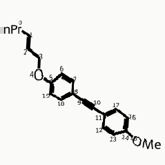 CCCC=CCOc1ccc(C#Cc2ccc(OC)cc2)cc1